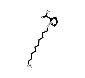 CCCCCCCCCCCOn1cccc1C(=O)O